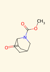 COC(=O)N1CC2CCC1C(=O)C2